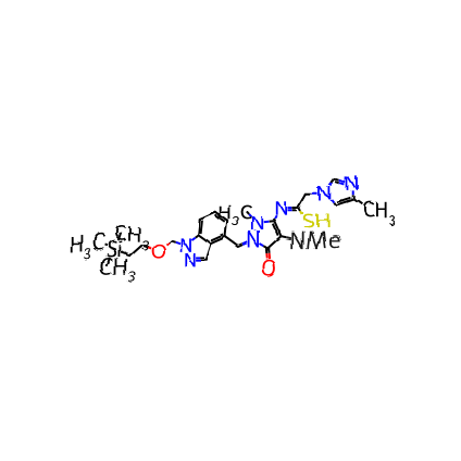 CNc1c(/N=C(\S)Cn2cnc(C)c2)n(C)n(Cc2cccc3c2cnn3COCC[Si](C)(C)C)c1=O